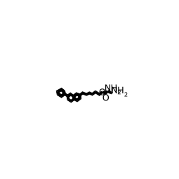 NCC(N)C(=O)OCCCCCCc1ccc2c(c1)C=C(c1ccccc1)CC2